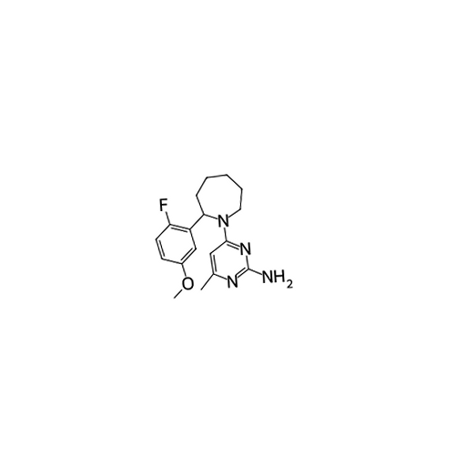 COc1ccc(F)c(C2CCCCCN2c2cc(C)nc(N)n2)c1